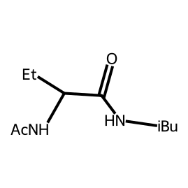 CCC(C)NC(=O)C(CC)NC(C)=O